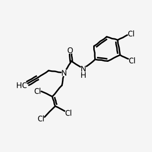 C#CCN(CC(Cl)=C(Cl)Cl)C(=O)Nc1ccc(Cl)c(Cl)c1